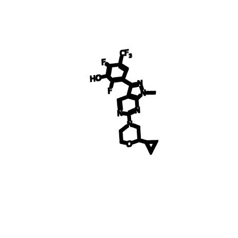 Cn1nc(-c2cc(C(F)(F)F)c(F)c(O)c2F)c2cnc(N3CCOC(C4CC4)C3)nc21